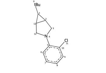 CC(C)(C)C1C2CN(c3ccccc3Cl)CC21